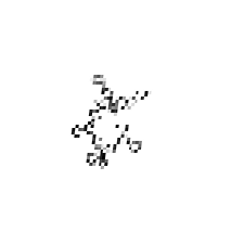 CC1(C)c2ccccc2-c2cc3c4cc(-c5ccccc5)cc5c6ccc(-c7ccc(-c8cc(-c9ccccc9)cc(-c9cc%10c%11ccccc%11c(=O)n%11c%12ccc(-c%13cc(-c%14ccccc%14)cc(-c%14ccccc%14)c%13)cc%12c(c9)c%10%11)c8)cc7)cc6c(=O)n(c3cc21)c54